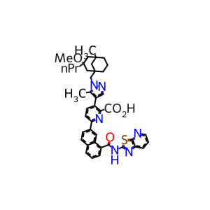 CCCC1(OC)CC2(C)CCCC(Cn3ncc(-c4ccc(-c5ccc6cccc(C(=O)Nc7nc8cccnc8s7)c6c5)nc4C(=O)O)c3C)(C2)C1